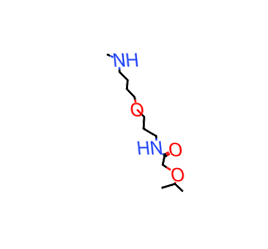 CNCCCCOCCCNC(=O)COC(C)C